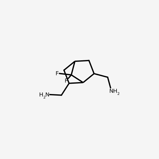 NCC1CC2CC(CN)C1C2(F)F